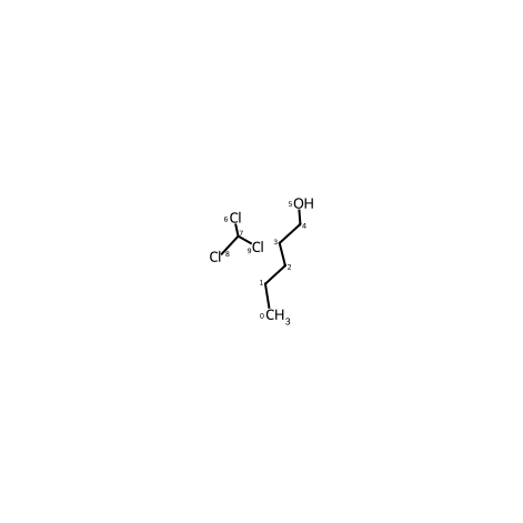 CCCCCO.ClC(Cl)Cl